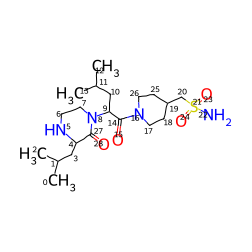 CC(C)CC1NCCN(C(CC(C)C)C(=O)N2CCC(CS(N)(=O)=O)CC2)C1=O